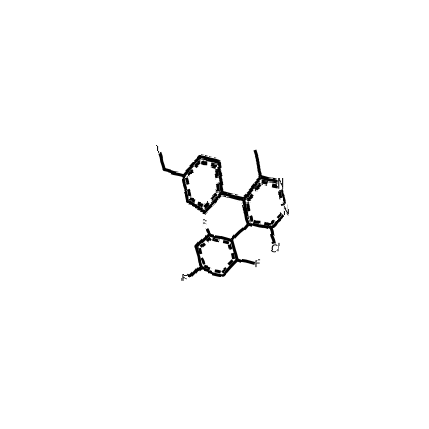 Cc1nnc(Cl)c(-c2c(F)cc(F)cc2F)c1-c1ccc(CI)cc1